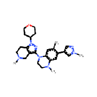 CC(=O)N1CCc2c(c(N3CCN(C)c4cc(-c5cnn(C)c5)c(C(F)(F)F)cc43)nn2C2CCOCC2)C1